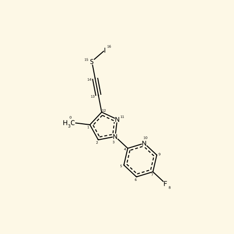 Cc1cn(-c2ccc(F)cn2)nc1C#CSI